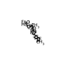 CCC(=O)N[C@H]1CC[C@@H](N(C)C(=O)Oc2ncc(-c3ccc4c(ccn4C)c3)cn2)C1